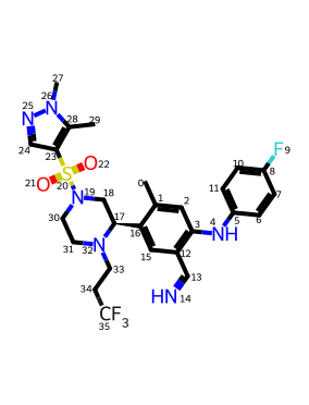 Cc1cc(Nc2ccc(F)cc2)c(C=N)cc1[C@@H]1CN(S(=O)(=O)c2cnn(C)c2C)CCN1CCC(F)(F)F